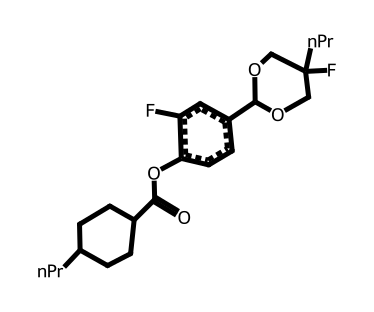 CCCC1CCC(C(=O)Oc2ccc(C3OCC(F)(CCC)CO3)cc2F)CC1